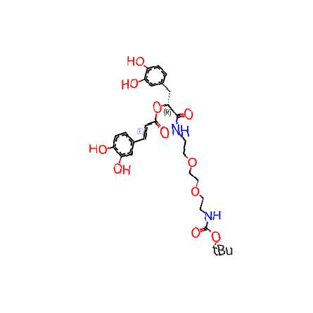 CC(C)(C)OC(=O)NCCOCCOCCNC(=O)[C@@H](Cc1ccc(O)c(O)c1)OC(=O)/C=C/c1ccc(O)c(O)c1